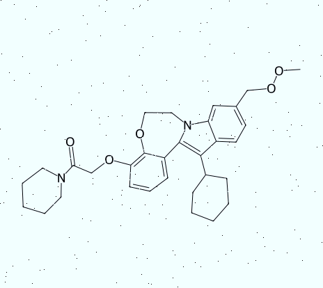 COOCc1ccc2c(C3CCCCC3)c3n(c2c1)CCOc1c(OCC(=O)N2CCCCC2)cccc1-3